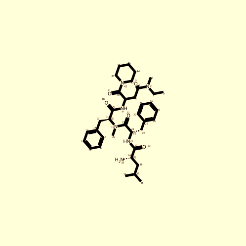 CCN(C)C(=O)CC(NC(=O)[C@H](Cc1ccccc1)N(C)C(=O)[C@H](Cc1ccccc1)NC(=O)[C@@H](N)CC(C)C)C(=O)N1CCCCC1